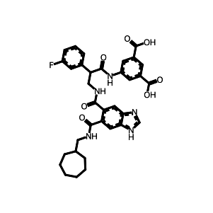 O=C(O)c1cc(NC(=O)C(CNC(=O)c2cc3nc[nH]c3cc2C(=O)NCC2CCCCCC2)c2cccc(F)c2)cc(C(=O)O)c1